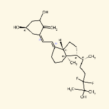 C=C1/C(=C\C=C2/CCC[C@]3(C)[C@@H]([C@H](C)CCC(F)(F)C(C)(C)O)CC[C@@H]23)C[C@@H](O)CC1O